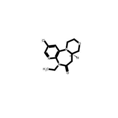 CCN1C(=O)C[C@@H]2COCCN2c2cc(Cl)cnc21